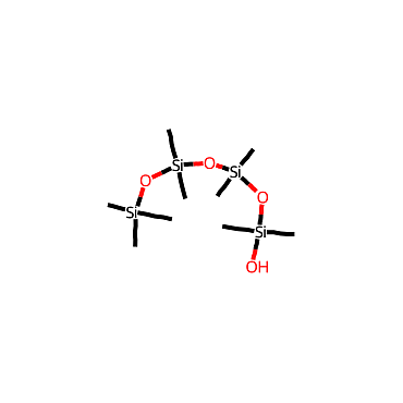 C[Si](C)(C)O[Si](C)(C)O[Si](C)(C)O[Si](C)(C)O